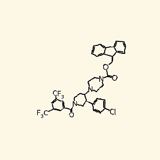 O=C(OCC1c2ccccc2-c2ccccc21)N1CCN([C@@H]2CCN(C(=O)c3cc(C(F)(F)F)cc(C(F)(F)F)c3)C[C@@H]2c2ccc(Cl)cc2)CC1